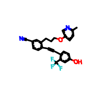 Cc1ccc(OCCCc2cc(C#N)ccc2C#Cc2ccc(O)cc2C(F)(F)F)cn1